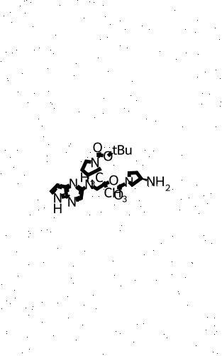 CC(C)(C)OC(=O)N1CC[C@@H](N(CC(C)(C)OC(=O)N2CC[C@@H](N)C2)c2cnc3[nH]ccc3n2)C1